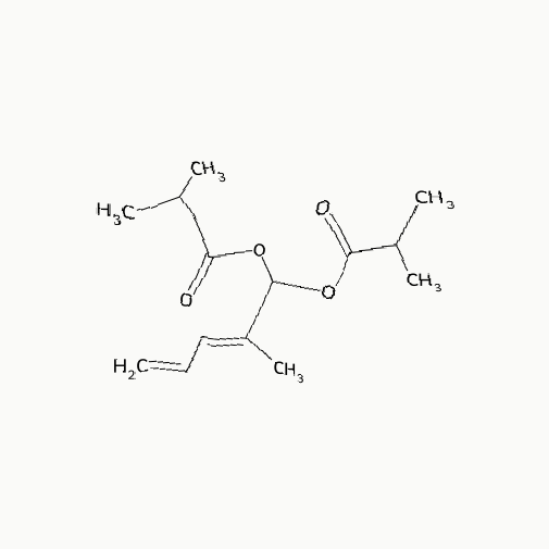 C=C/C=C(\C)C(OC(=O)C(C)C)OC(=O)C(C)C